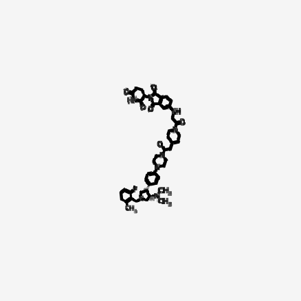 Cc1cccc(F)c1CN1C[C@H](c2ccc(N3CCN(C(=O)CC4CCN(C(=O)CNc5ccc6c(c5)C(=O)N(C5CCC(=O)NC5=O)C6=O)CC4)CC3)cc2)[C@@H](N(C)C)C1